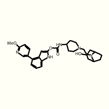 COc1ccc(-c2cccc3[nH]c(OC(=O)NC4CCN(CCN5C6CCC5CC(O)C6)CC4)cc23)cn1